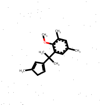 COc1c(C)cc(C)cc1C(C)(C)C1=CCC(C)=C1